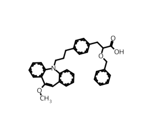 COC1=Cc2ccccc2N(CCCc2ccc(CC(OCc3ccccc3)C(=O)O)cc2)c2ccccc21